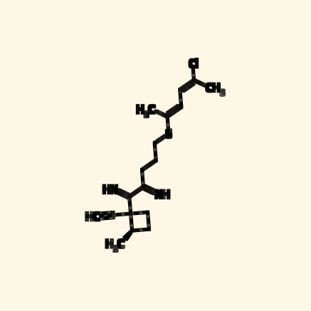 C#CC1(C(=N)C(=N)CCCS/C(C)=C/C=C(\C)Cl)CC[C@H]1C